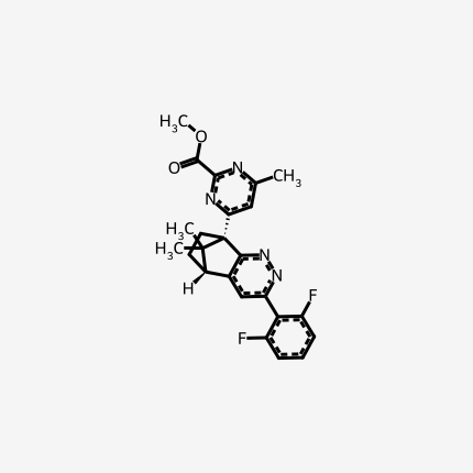 COC(=O)c1nc(C)cc([C@]23CC[C@@H](c4cc(-c5c(F)cccc5F)nnc42)C3(C)C)n1